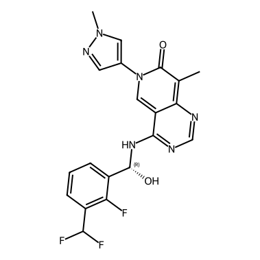 Cc1c(=O)n(-c2cnn(C)c2)cc2c(N[C@H](O)c3cccc(C(F)F)c3F)ncnc12